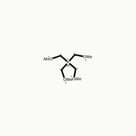 COC[PH](COC)(COC)COC